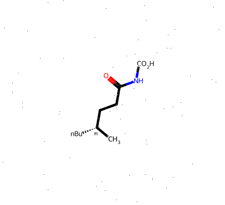 CCCC[C@@H](C)CCC(=O)NC(=O)O